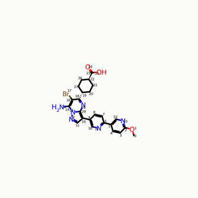 COc1ccc(-c2ccc(-c3cnn4c(N)c(Br)c([C@H]5CC[C@H](C(=O)O)CC5)nc34)cn2)cn1